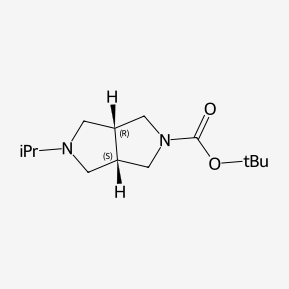 CC(C)N1C[C@H]2CN(C(=O)OC(C)(C)C)C[C@H]2C1